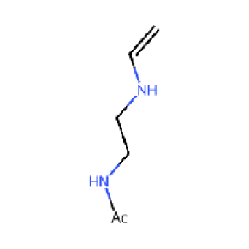 C=CNCCNC(C)=O